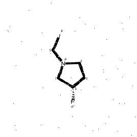 F[C@H]1CCN(CI)C1